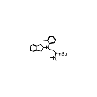 CCCC[C@@H](CCN(c1ccccc1C)C1Cc2ccccc2C1)N(C)C